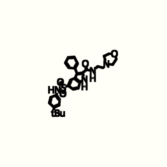 CC(C)(C)c1ccc(NS(=O)(=O)c2ccc3[nH]c(C(=O)NCCN4CCOCC4)c(-c4ccccc4)c3c2)cc1